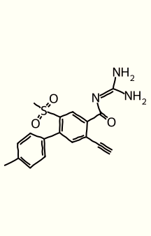 C#Cc1cc(-c2ccc(C)cc2)c(S(C)(=O)=O)cc1C(=O)N=C(N)N